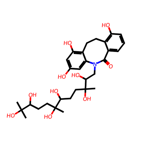 CC(C)(O)C(O)CCC(C)(O)C(O)CCC(C)(O)C(O)CN1C(=O)c2cccc(O)c2CCc2c(O)cc(O)cc21